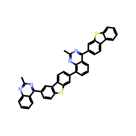 Cc1nc(-c2ccc3sc4cc(-c5cccc6c(-c7ccc8c(c7)sc7ccccc78)nc(C)nc56)ccc4c3c2)c2ccccc2n1